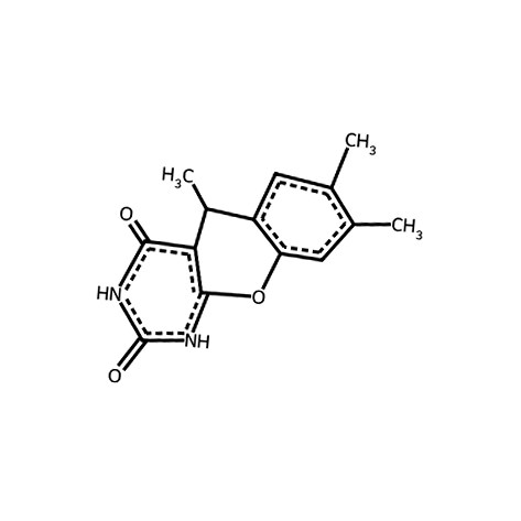 Cc1cc2c(cc1C)C(C)c1c([nH]c(=O)[nH]c1=O)O2